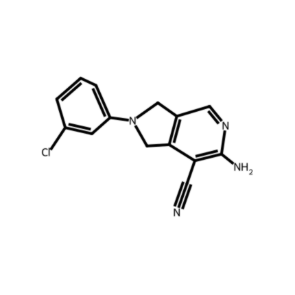 N#Cc1c(N)ncc2c1CN(c1cccc(Cl)c1)C2